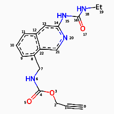 C#CCOC(=O)NCc1cccc2cc(NC(=O)NCC)ncc12